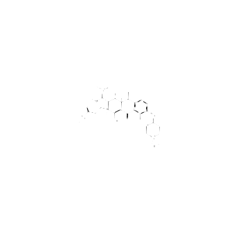 CCCN1CCC(Nc2ccc3c(c2O)C(=O)C2=C(O)[C@](O)(C(=O)CC(N)=O)C(C(CO)N(C)C)[C@@H](O)[C@@H]2C3C)CC1